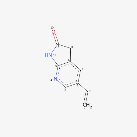 C=Cc1cnc2c(c1)CC(=O)N2